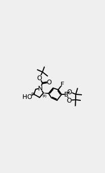 CC(C)(C)OC(=O)N1C[C@H](O)C[C@@H]1c1ccc(B2OC(C)(C)C(C)(C)O2)c(F)c1